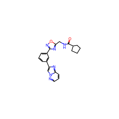 O=C(NCc1nc(-c2cccc(-c3cn4ncccc4n3)c2)no1)C1CCCC1